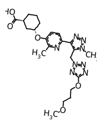 COCCCOc1nnn(Cc2c(-c3ccc(O[C@H]4CCC[C@H](C(=O)O)C4)c(C)n3)nnn2C)n1